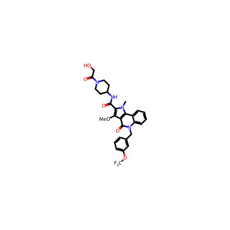 COc1c(C(=O)NC2CCN(C(=O)CO)CC2)n(C)c2c1c(=O)n(Cc1cccc(OC(F)(F)F)c1)c1ccccc21